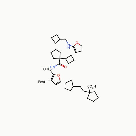 CCC[C@@H](C)c1ccoc1C=O.NC(=O)C1(C2CCC2)CCCC1.O=C(O)C1(CCC2CCCC2)CCCC1.c1coc(NCC2CCC2)c1